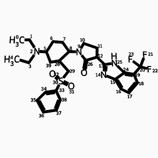 CCN(CC)C1CCC(N2CCC(c3nc4cccc(C(F)(F)F)c4[nH]3)C2=O)C(CS(=O)(=O)c2ccccc2)C1